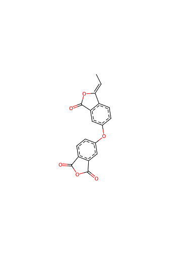 CC=C1OC(=O)c2cc(Oc3ccc4c(c3)C(=O)OC4=O)ccc21